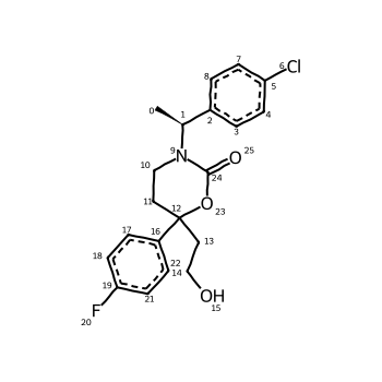 C[C@@H](c1ccc(Cl)cc1)N1CCC(CCO)(c2ccc(F)cc2)OC1=O